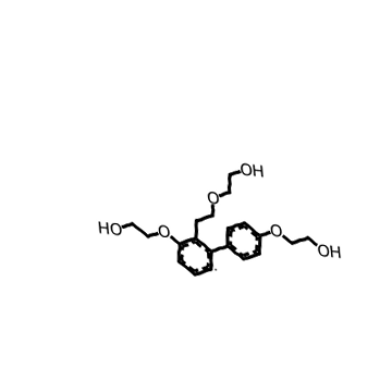 OCCOCCc1c(-c2ccc(OCCO)cc2)[c]ccc1OCCO